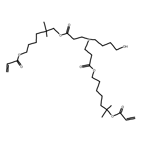 C=CC(=O)OCCCCC(C)(C)COC(=O)CCN(CCCCO)CCC(=O)OCCCCCC(C)(C)OC(=O)C=C